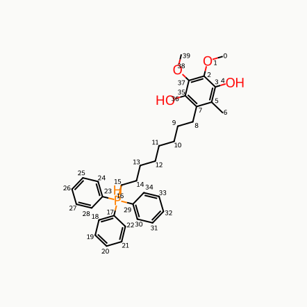 COc1c(O)c(C)c(CCCCCCCC[PH](c2ccccc2)(c2ccccc2)c2ccccc2)c(O)c1OC